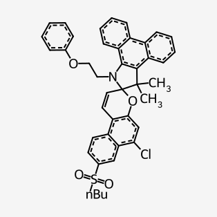 CCCCS(=O)(=O)c1ccc2c3c(cc(Cl)c2c1)OC1(C=C3)N(CCOc2ccccc2)c2c(c3ccccc3c3ccccc23)C1(C)C